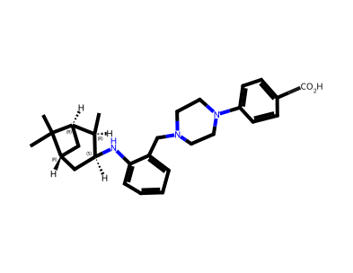 C[C@H]1[C@@H](Nc2ccccc2CN2CCN(c3ccc(C(=O)O)cc3)CC2)C[C@H]2C[C@H]1C2(C)C